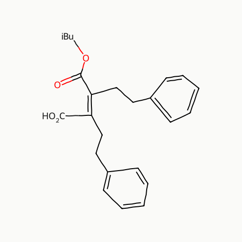 CCC(C)OC(=O)C(CCc1ccccc1)=C(CCc1ccccc1)C(=O)O